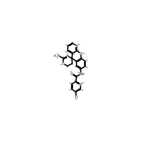 NC1=NC2(CCO1)c1cc(NC(=O)c3ccc(Cl)cn3)ccc1Oc1ncccc12